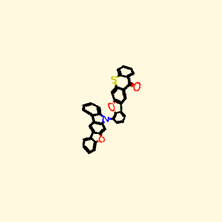 O=c1c2ccccc2sc2cc3oc4c(-n5c6ccccc6c6cc7c(cc65)oc5ccccc57)cccc4c3cc12